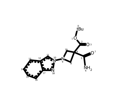 CC(C)(C)OC(=O)C1(C(N)=O)CN(n2cc3ccccc3n2)C1